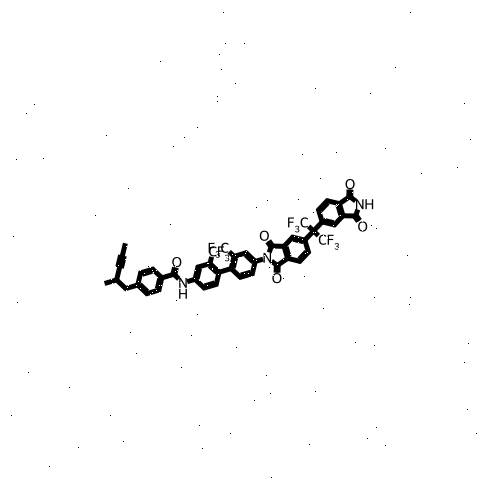 CC#CC(C)Cc1ccc(C(=O)Nc2ccc(-c3ccc(N4C(=O)c5ccc(C(c6ccc7c(c6)C(=O)NC7=O)(C(F)(F)F)C(F)(F)F)cc5C4=O)cc3C(F)(F)F)c(C(F)(F)F)c2)cc1